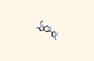 CCn1c(C)cc2cc(-c3cnn(C)c3)ncc21